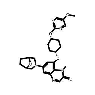 COc1cnc(O[C@H]2CC[C@@H](Oc3cc(N4CC5CCC(C4)O5)cc4ncc(=O)n(C)c34)CC2)nc1